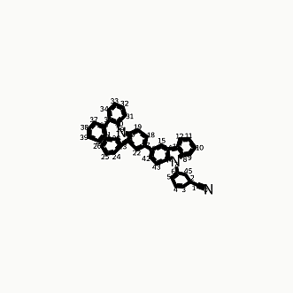 N#CC1C=CC=C(n2c3ccccc3c3cc(-c4ccc5c(c4)c4ccccc4n5-c4ccccc4-c4ccccc4)ccc32)C1